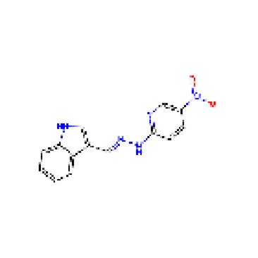 O=[N+]([O-])c1ccc(N/N=C/c2c[nH]c3ccccc23)nc1